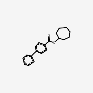 O=C(OC1CCCCCC1)c1ccc(-c2ccccc2)cc1